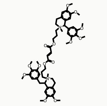 COc1cc2c(cc1OC)C(Cc1cc(OC)c(OC)c(OC)c1)[N+](C)(CCCOC(=O)/C=C/C(=O)OCCC[N+]1(C)CCc3cc(OC)c(OC)cc3C1c1cc(OC)c(OC)c(OC)c1)CC2